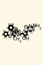 C[C@H](NP(=O)(OCC1S[C@@H](n2cnc(N)nc2=O)C[C@H]1O)Oc1ccccc1)C(=O)OC1CCCC1